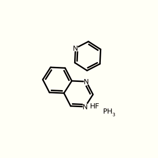 F.P.c1ccc2ncncc2c1.c1ccncc1